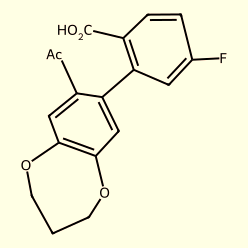 CC(=O)c1cc2c(cc1-c1cc(F)ccc1C(=O)O)OCCCO2